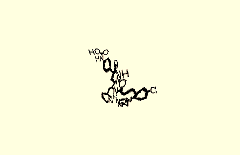 O=C(O)Nc1ccc(-c2cc(C(Cc3cccnc3)NC(=O)C=Cc3cc(Cl)ccc3-n3cnnn3)n[nH]c2=O)cc1